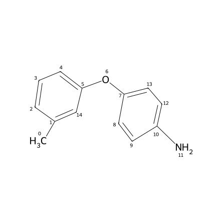 Cc1cccc(Oc2ccc(N)cc2)c1